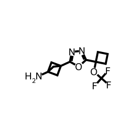 NC12CC(c3nnc(C4(OC(F)(F)F)CCC4)o3)(C1)C2